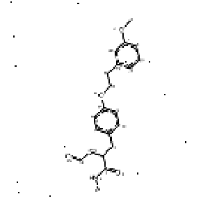 CNC(=O)C(Cc1ccc(OCCc2cccc(OC)c2)cc1)SC=O